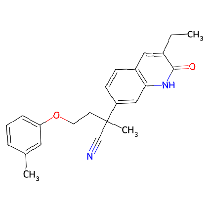 CCc1cc2ccc(C(C)(C#N)CCOc3cccc(C)c3)cc2[nH]c1=O